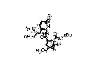 C=C[C@@]12CC(C(=O)Nc3nc(Br)ccc3CN(C)CCCCCC)N(C(=O)OC(C)(C)C)[C@@H]1C2